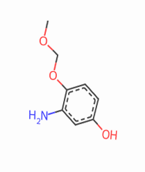 COCOc1ccc(O)cc1N